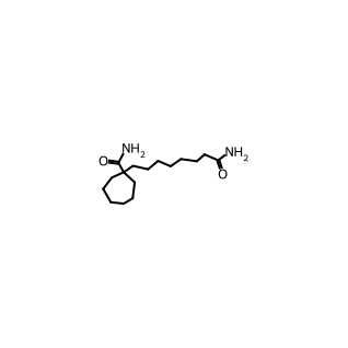 NC(=O)CCCCCCCC1(C(N)=O)CCCCCC1